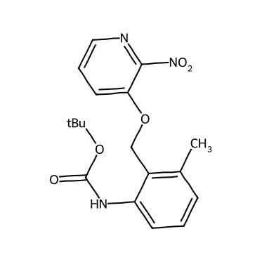 Cc1cccc(NC(=O)OC(C)(C)C)c1COc1cccnc1[N+](=O)[O-]